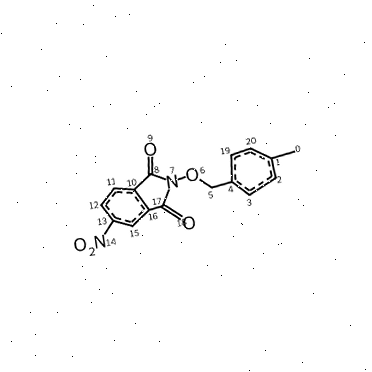 Cc1ccc(CON2C(=O)c3ccc([N+](=O)[O-])cc3C2=O)cc1